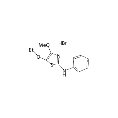 Br.CCOc1sc(Nc2ccccc2)nc1OC